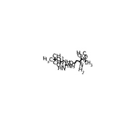 CON(C)C(=O)[C@@H](N)CCONC(=N)NC(=O)OC(C)(C)C